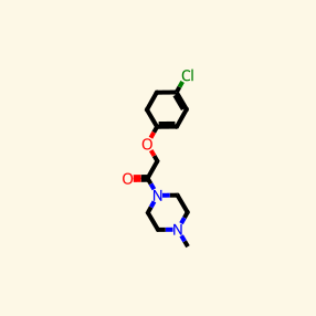 CN1CCN(C(=O)COC2=CC=C(Cl)CC2)CC1